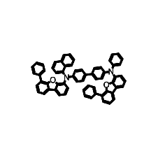 c1ccc(-c2cccc3c2oc2c(N(c4ccccc4)c4ccc(-c5ccc(N(c6cccc7ccccc67)c6cccc7c6oc6c(-c8ccccc8)cccc67)cc5)cc4)cccc23)cc1